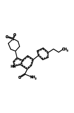 CCCc1ccc(-c2cc(C(N)=O)c3[nH]cc(C4CCS(=O)(=O)CC4)c3c2)cc1